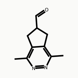 Cc1nnc(C)c2c1CC(C=O)C2